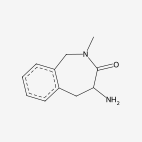 CN1Cc2ccccc2CC(N)C1=O